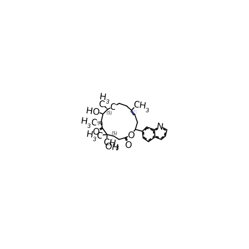 C/C1=C/CC(c2ccc3cccnc3c2)OC(=O)C[C@H](O)C(C)(C)C(=O)[C@H](C)C(O)[C@@H](C)CCC1